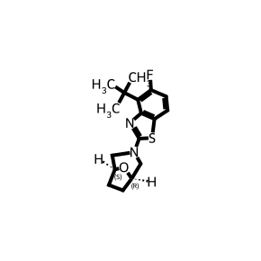 CC(C)(C)c1c(F)ccc2sc(N3C[C@H]4CC[C@@H](C3)O4)nc12